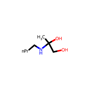 [CH2]CCCNC(C)(O)CO